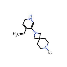 C=CC1=CCNC=C1N1CC2(CCN(CC)CC2)C1